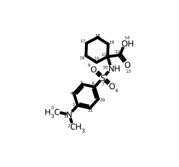 CN(C)c1ccc(S(=O)(=O)NC2(C(=O)O)CCCCC2)cc1